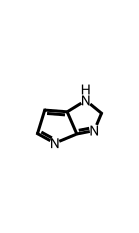 C1=NC2=NCNC2=C1